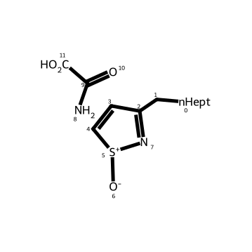 CCCCCCCCc1cc[s+]([O-])n1.NC(=O)C(=O)O